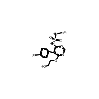 CCCNS(=O)(=O)Nc1ncnc(OCCO)c1-c1ccc(Br)cc1